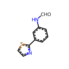 O=CNc1cccc(-c2nccs2)c1